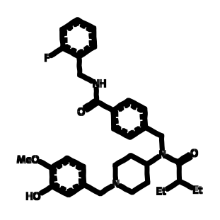 CCC(CC)C(=O)N(Cc1ccc(C(=O)NCc2ccccc2F)cc1)C1CCN(Cc2ccc(OC)c(O)c2)CC1